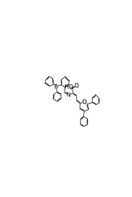 O=C(O)C(=CC=C1C=C(c2ccccc2)C=C(c2ccccc2)O1)N=Cc1ccccc1B(c1ccccc1)c1ccccc1